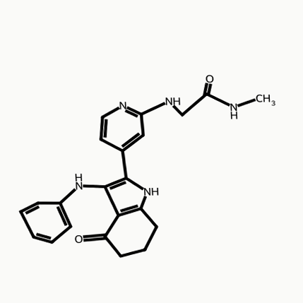 CNC(=O)CNc1cc(-c2[nH]c3c(c2Nc2ccccc2)C(=O)CCC3)ccn1